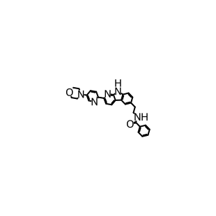 O=C(NCCc1ccc2[nH]c3nc(-c4ccc(N5CCOCC5)cn4)ccc3c2c1)c1ccccc1